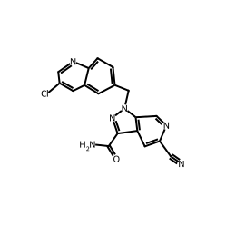 N#Cc1cc2c(C(N)=O)nn(Cc3ccc4ncc(Cl)cc4c3)c2cn1